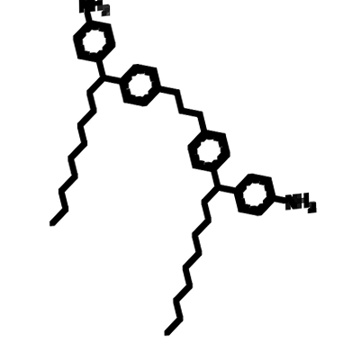 CCCCCCCCCC(c1ccc(N)cc1)c1ccc(CCCc2ccc(C(CCCCCCCCC)c3ccc(N)cc3)cc2)cc1